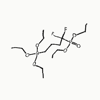 CCO[Si](CCCC(F)(F)P(=O)(OCC)OCC)(OCC)OCC